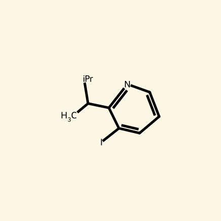 CC(C)C(C)c1ncccc1I